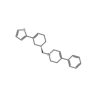 C1=C(c2ccccc2)CCN(C[C@@H]2CCC=C(c3cccs3)C2)C1